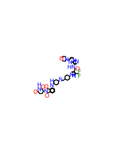 CN(CC1CCC(n2cc(C(=O)Nc3cnn4ccc(N5CCOCC5)nc34)c(C(F)F)n2)CC1)[C@H]1CC[C@H](Nc2cccc3c2C(=O)N(C2CCC(=O)NC2=O)C3=O)CC1